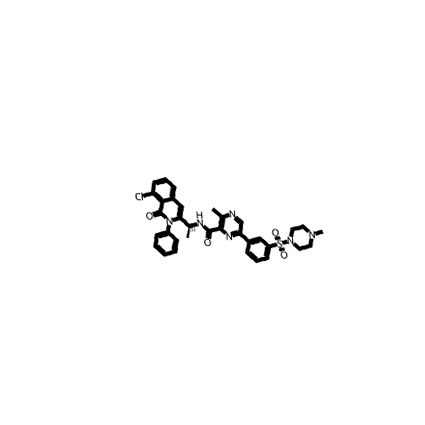 Cc1ncc(-c2cccc(S(=O)(=O)N3CCN(C)CC3)c2)nc1C(=O)N[C@@H](C)c1cc2cccc(Cl)c2c(=O)n1-c1ccccc1